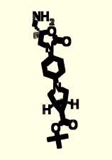 CC(C)(C)OC(=O)C1[C@H]2CN(c3ccc(N4C[C@H](CN)OC4=O)cc3)C[C@@H]12